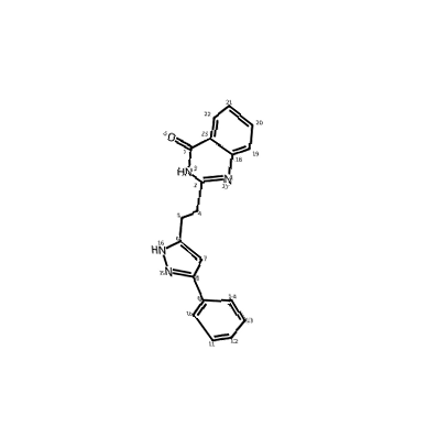 O=c1[nH]c(CCc2cc(-c3ccccc3)n[nH]2)nc2ccccc12